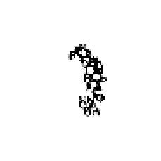 C[C@]12CC[C@@H]3c4ccc(C(=O)NCC(=O)O)cc4CC[C@H]3[C@@H]1CC[C@@H]2c1cncc(F)c1